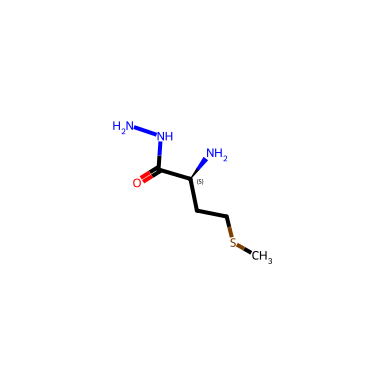 CSCC[C@H](N)C(=O)NN